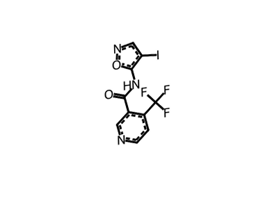 O=C(Nc1oncc1I)c1cnccc1C(F)(F)F